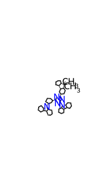 CC1(C)c2ccccc2-c2cc(-c3nc(-c4cccc(-n5c6ccccc6c6ccccc65)c4)nc(-n4c5ccccc5c5ccccc54)n3)ccc21